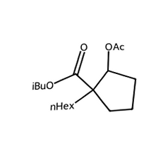 CCCCCCC1(C(=O)OCC(C)C)CCCC1OC(C)=O